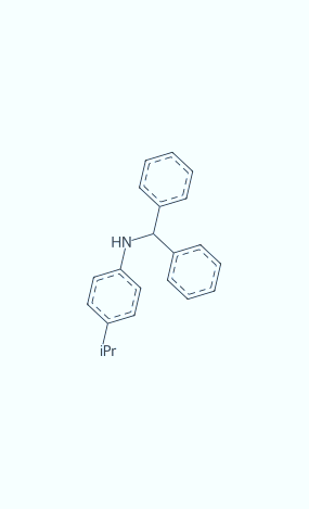 CC(C)c1ccc(NC(c2ccccc2)c2ccccc2)cc1